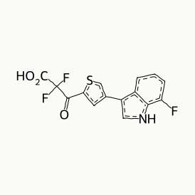 O=C(O)C(F)(F)C(=O)c1cc(-c2c[nH]c3c(F)cccc23)cs1